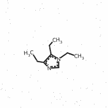 CCc1ncn(CC)c1CC